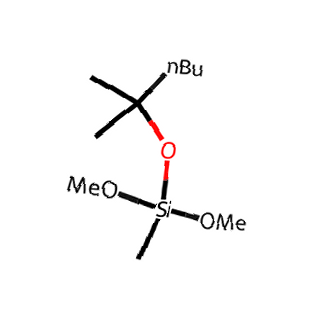 CCCCC(C)(C)O[Si](C)(OC)OC